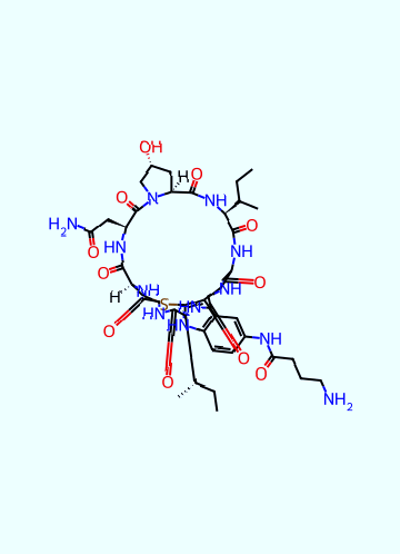 CCC(C)[C@@H]1NC(=O)[C@@H]2C[C@@H](O)CN2C(=O)[C@H](CC(N)=O)NC(=O)[C@@H]2CSc3[nH]c4ccc(NC(=O)CCCN)cc4c3CC(NC1=O)C(=O)NCC(=O)N[C@@H]([C@@H](C)CC)C(=O)NCC(=O)N2